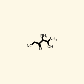 CC(O)C(N)C(=O)CC#N